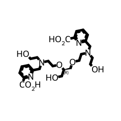 O=C(O)c1cccc(CN(CCO)CCOC[C@@H](CO)OCCN(CCO)Cc2cccc(C(=O)O)n2)n1